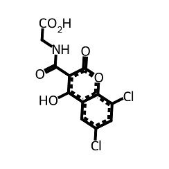 O=C(O)CNC(=O)c1c(O)c2cc(Cl)cc(Cl)c2oc1=O